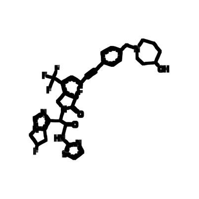 O=C(Nc1nccs1)C(c1ncn2c1CC(F)C2)N1Cc2c(cc(C#Cc3ccc(CN4CCCC(O)CC4)cc3)cc2C(F)(F)F)C1=O